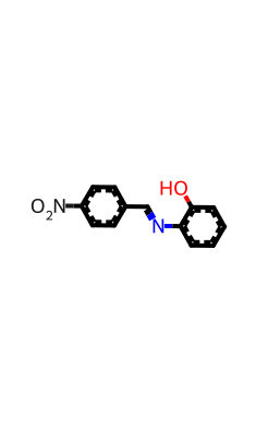 O=[N+]([O-])c1ccc(C=Nc2ccccc2O)cc1